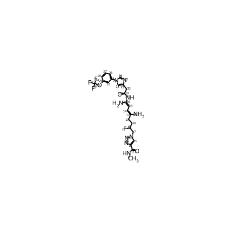 CNC(=O)c1cn(CC(F)CC/C(N)=C/C=C(\N)NC(=O)Cc2cn(-c3cccc(OC(F)(F)F)c3)cn2)nn1